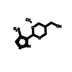 C.O=[N+]([O-])c1cn[nH]c1C1OCC(CO)CO1